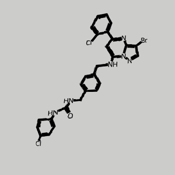 O=C(NCc1ccc(CNc2cc(-c3ccccc3Cl)nc3c(Br)cnn23)cc1)Nc1ccc(Cl)cc1